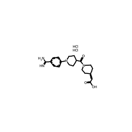 Cl.Cl.N=C(N)c1ccc(N2CCC(C(=O)N3CCC(=CC(=O)O)CC3)CC2)cc1